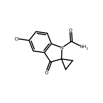 NC(=O)N1c2ccc(Cl)cc2C(=O)C12CC2